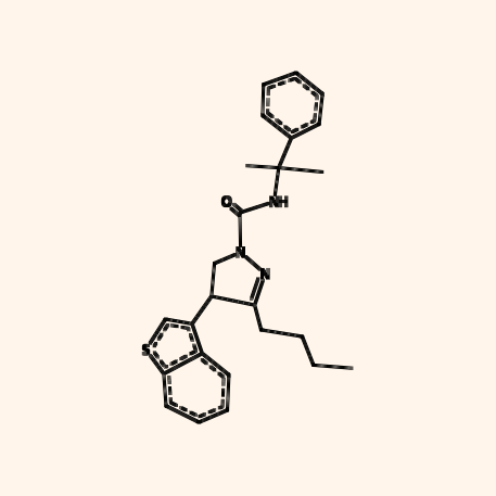 CCCCC1=NN(C(=O)NC(C)(C)c2ccccc2)CC1c1csc2ccccc12